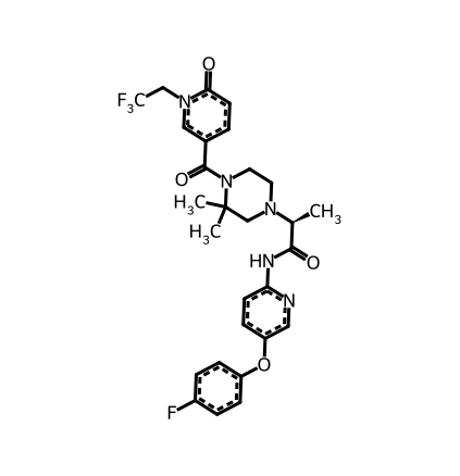 C[C@@H](C(=O)Nc1ccc(Oc2ccc(F)cc2)cn1)N1CCN(C(=O)c2ccc(=O)n(CC(F)(F)F)c2)C(C)(C)C1